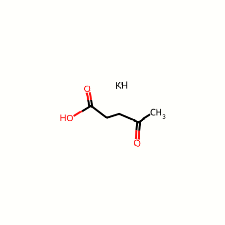 CC(=O)CCC(=O)O.[KH]